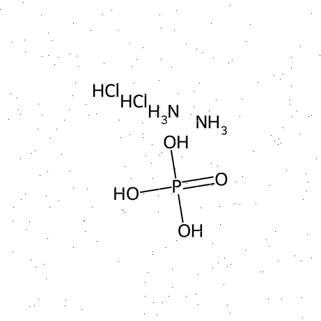 Cl.Cl.N.N.O=P(O)(O)O